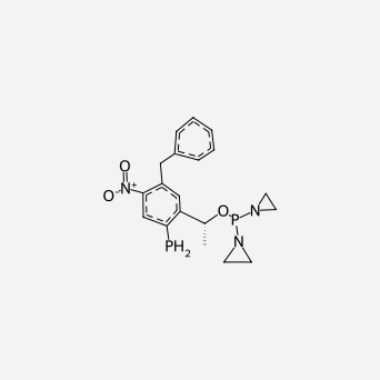 C[C@@H](OP(N1CC1)N1CC1)c1cc(Cc2ccccc2)c([N+](=O)[O-])cc1P